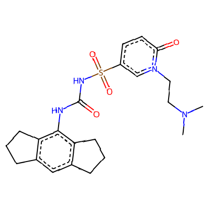 CN(C)CCn1cc(S(=O)(=O)NC(=O)Nc2c3c(cc4c2CCC4)CCC3)ccc1=O